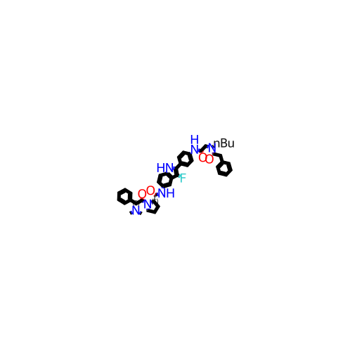 CCCCN(CC(=O)Nc1ccc(-c2[nH]c3ccc(NC(=O)[C@@H]4CCCN4C(=O)[C@@H](c4ccccc4)N(C)C)cc3c2F)cc1)C(=O)Cc1ccccc1